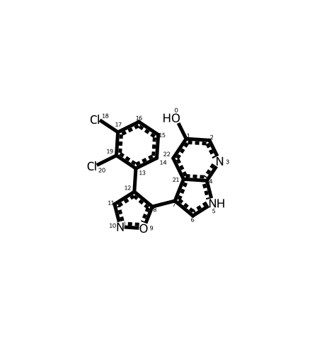 Oc1cnc2[nH]cc(-c3oncc3-c3cccc(Cl)c3Cl)c2c1